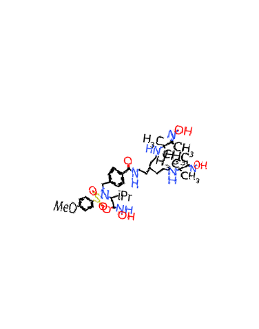 COc1ccc(S(=O)(=O)N(Cc2ccc(C(=O)NCCC(CCNC(C)(C)C(C)=NO)CCNC(C)(C)C(C)=NO)cc2)C(C(=O)NO)C(C)C)cc1